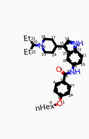 CCCCCCOc1ccc(C(=O)Nc2ccc3[nH]cc(C4CCN(C(CC)CC)CC4)c3c2)cc1